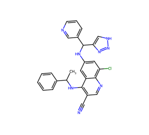 CC(Nc1c(C#N)cnc2c(Cl)cc(NC(c3cccnc3)c3c[nH]nn3)cc12)c1ccccc1